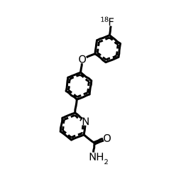 NC(=O)c1cccc(-c2ccc(Oc3cccc([18F])c3)cc2)n1